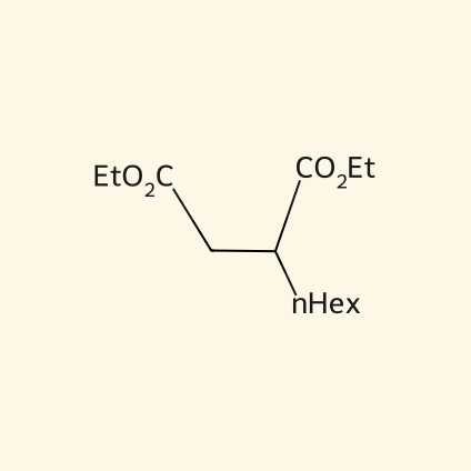 CCCCCCC(CC(=O)OCC)C(=O)OCC